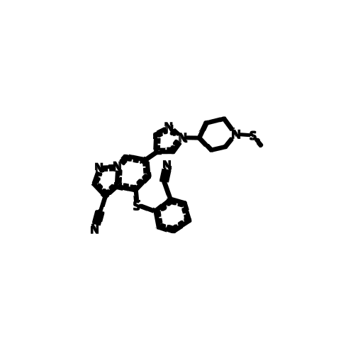 CSN1CCC(n2cc(-c3cc(Sc4ccccc4C#N)c4c(C#N)cnn4c3)cn2)CC1